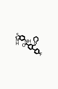 O=C(Nc1ccc2c(c1)NCS2)c1ccc(-c2ccc(F)cc2)c(CN2CCCCC2)c1